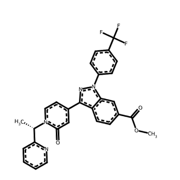 COC(=O)c1ccc2c(-c3ccn([C@@H](C)c4ccccn4)c(=O)c3)nn(-c3ccc(C(F)(F)F)cc3)c2c1